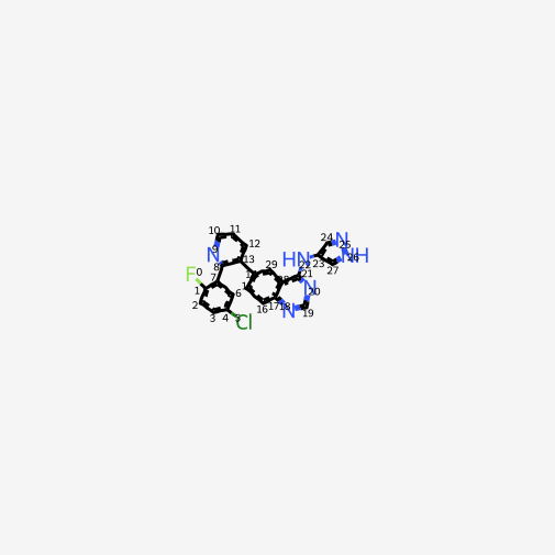 Fc1ccc(Cl)cc1-c1ncccc1-c1ccc2ncnc(Nc3cn[nH]c3)c2c1